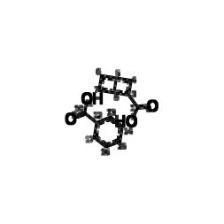 O=C(O)c1cc2ccc1-2.O=C(O)c1ccccc1